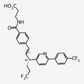 O=C(O)CCNC(=O)c1ccc(/C=C/[C@@H](CCC(F)(F)F)c2ccc(-c3ccc(C(F)(F)F)cc3)nc2)cc1